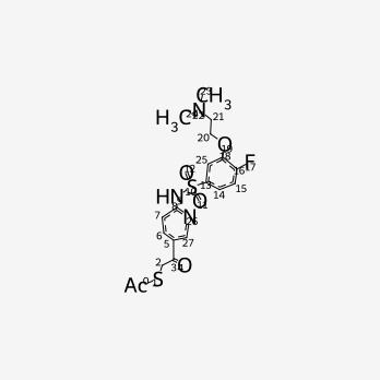 CC(=O)SCC(=O)c1ccc(NS(=O)(=O)c2ccc(F)c(OCCN(C)C)c2)nc1